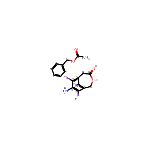 CC(=O)OCc1ccccc1.Nc1c(I)c2c(I)c(c1I)CC(=O)OC2